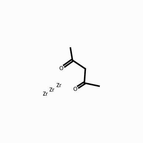 CC(=O)CC(C)=O.[Zr].[Zr].[Zr]